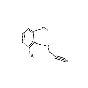 Cc1cccc(C)c1OCC#N